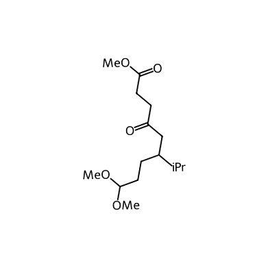 COC(=O)CCC(=O)CC(CCC(OC)OC)C(C)C